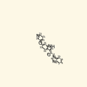 O=C(Cn1cnc2ccccc21)c1c[nH]c2cc(Oc3cccnc3)ccc12